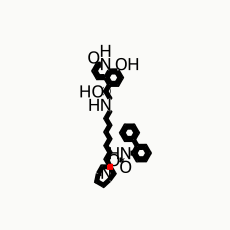 O=C(Nc1ccccc1-c1ccccc1)OC1CC2CCC(C1)N2CCCCCCCCCNC[C@@H](O)c1ccc(O)c2[nH]c(=O)ccc12